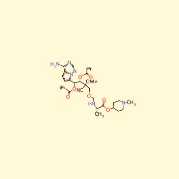 CO[C@](C#N)(COCN[C@@H](C)C(=O)OC1CCN(C)CC1)[C@@H](OC(=O)C(C)C)[C@@H](OC(=O)C(C)C)c1ccc2c(N)ncnn12